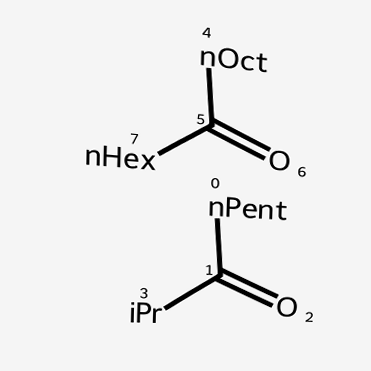 CCCCCC(=O)C(C)C.CCCCCCCCC(=O)CCCCCC